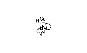 Cc1ccccn1.[Cu].c1nnn[nH]1